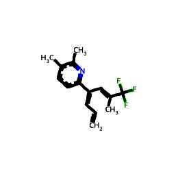 C=C/C=C(\C=C(/C)C(F)(F)F)c1ccc(C)c(C)n1